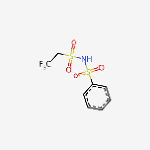 O=S(=O)(CC(F)(F)F)NS(=O)(=O)c1ccccc1